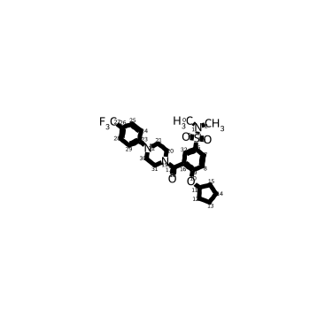 CN(C)S(=O)(=O)c1ccc(OC2CCCC2)c(C(=O)N2CCN(c3ccc(C(F)(F)F)cc3)CC2)c1